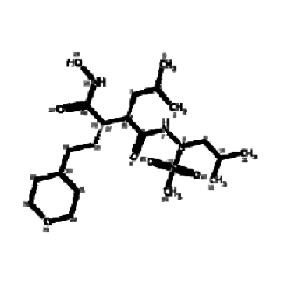 CC(C)C[C@@H](C(=O)NN(CC(C)C)S(C)(=O)=O)[C@H](CCC1CCOCC1)C(=O)NO